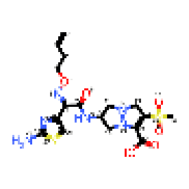 C=CCCO/N=C(\C(=O)N[C@H]1CN2CC(S(C)(=O)=O)=C(C(=O)O)N2C1)c1csc(N)n1